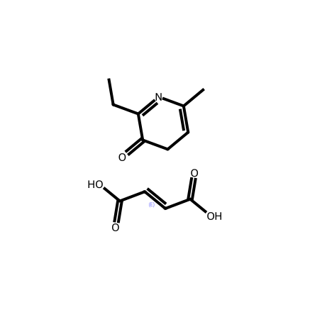 CCC1=NC(C)=CCC1=O.O=C(O)/C=C/C(=O)O